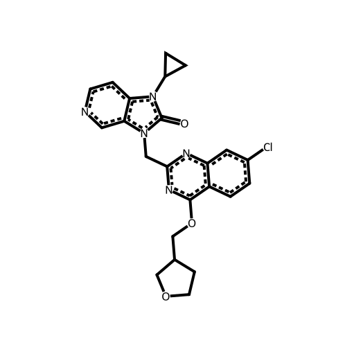 O=c1n(Cc2nc(OCC3CCOC3)c3ccc(Cl)cc3n2)c2cnccc2n1C1CC1